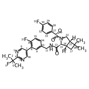 CC(C)(F)c1ncc(-c2cc(CNC(=O)[C@@H]3[C@H]4CC(C)(C)[C@H]4CN3S(=O)(=O)c3ccc(F)cc3)ccc2F)cn1